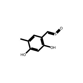 Cc1cc(C=S=O)c(O)cc1O